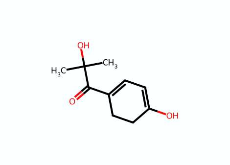 CC(C)(O)C(=O)C1=CC=C(O)CC1